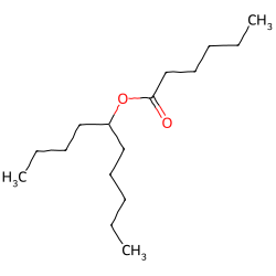 CCCCCC(=O)OC(CCCC)CCCCC